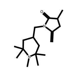 C=C1CC(C)C(=O)N1CC1CC(C)(C)N(C)C(C)(C)C1